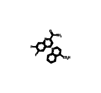 NC(=O)c1ccc2cc(F)c(F)cc2n1.O=C(O)c1ccnc2ccccc12